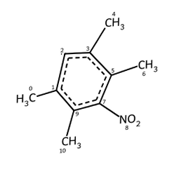 Cc1[c]c(C)c(C)c([N+](=O)[O-])c1C